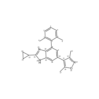 Cc1cccc(C)c1-c1cc(-c2c(C)noc2C)cc2[nH]c(C3CC3)nc12